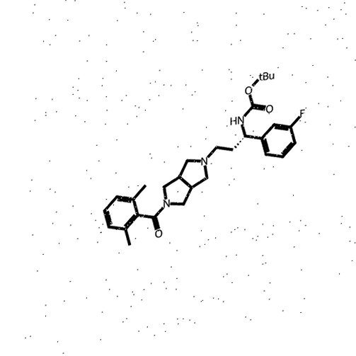 Cc1cccc(C)c1C(=O)N1CC2CN(CC[C@H](NC(=O)OC(C)(C)C)c3cccc(F)c3)CC2C1